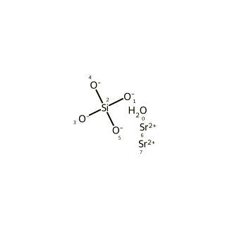 O.[O-][Si]([O-])([O-])[O-].[Sr+2].[Sr+2]